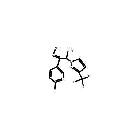 CC(C(=NN)c1ccc(Cl)nc1)n1ccc(C(F)(F)F)n1